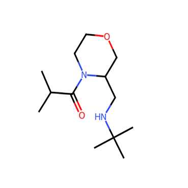 CC(C)C(=O)N1CCOCC1CNC(C)(C)C